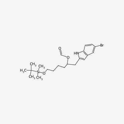 CC(C)(C)[Si](C)(C)OCCCCC(Cc1cc2cc(Br)ccc2[nH]1)OC=O